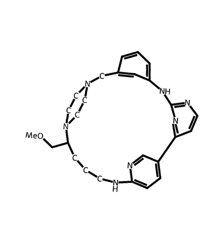 COCC1CCCNc2ccc(cn2)-c2ccnc(n2)Nc2cccc(c2)CN2CCN1CC2